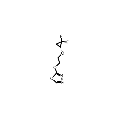 FC1(F)C[C@H]1OCCOc1nnco1